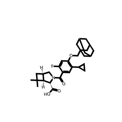 CC1(C)C[C@H]2CN(C(=O)c3cc(C4CC4)c(OCC45CC6CC(CC(C6)C4)C5)cc3F)[C@H](C(=O)O)[C@H]21